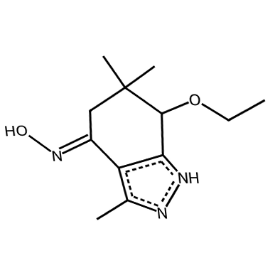 CCOC1c2[nH]nc(C)c2C(=NO)CC1(C)C